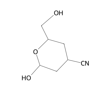 N#CC1CC(O)OC(CO)C1